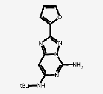 CC(C)(C)Nc1cc2nc(-c3ccco3)nn2c(N)n1